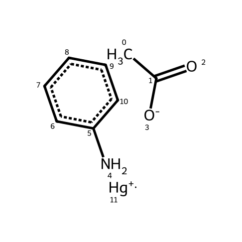 CC(=O)[O-].Nc1ccccc1.[Hg+]